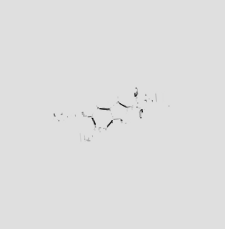 COc1cc2cc(S(N)(=O)=O)oc2cc1O